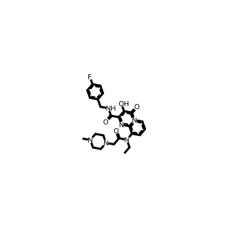 CCN(C(=O)CN1CCN(C)CC1)c1cccn2c(=O)c(O)c(C(=O)NCc3ccc(F)cc3)nc12